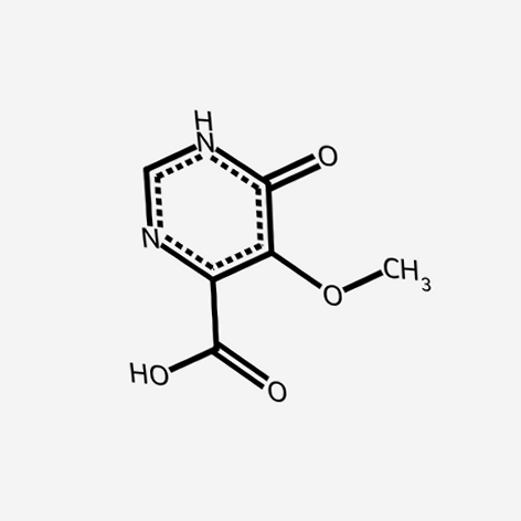 COc1c(C(=O)O)nc[nH]c1=O